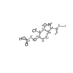 C=C(CC)c1noc2c(Cl)c(OCC(=O)O)ccc12